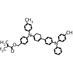 C=C(C)C(=O)OCc1ccc(N(C2=CC=C(c3ccc(N(c4ccccc4)c4ccc(C)cc4)cc3)CC2)c2ccc(C)cc2)cc1